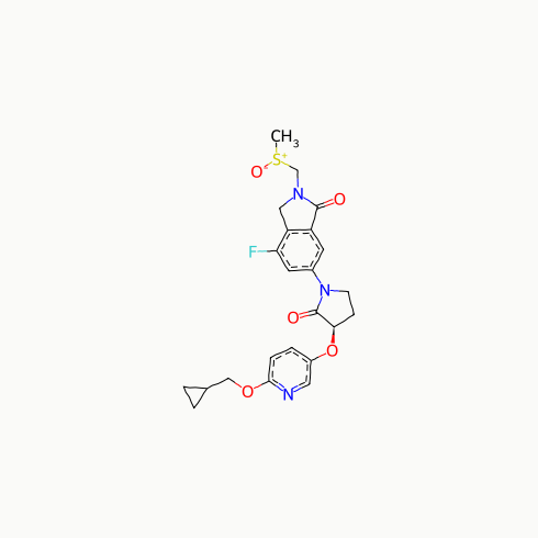 C[S+]([O-])CN1Cc2c(F)cc(N3CC[C@@H](Oc4ccc(OCC5CC5)nc4)C3=O)cc2C1=O